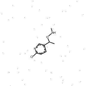 CNOC(C)c1ccc(Cl)nc1